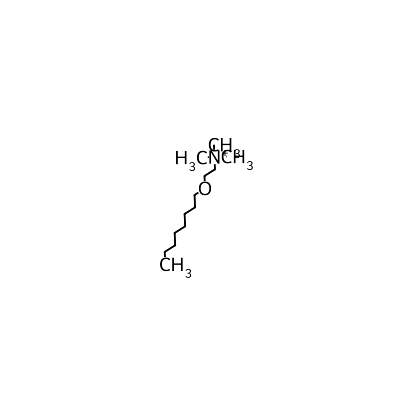 CCCCCCCCOCC[N+](C)(C)C